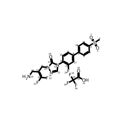 CS(=O)(=O)c1ccc(-c2ccc(-n3cnn(CC(CN)=C(F)F)c3=O)c(F)c2)cc1.O=C(O)C(F)(F)F